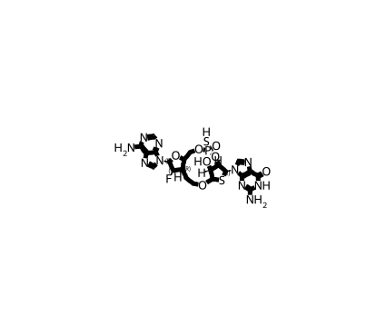 Nc1nc2c(ncn2[C@@H]2SC3OCC[C@@H]4C(COP(=O)(S)O[C@@H]2[C@@H]3O)O[C@@H](n2cnc3c(N)ncnc32)[C@H]4F)c(=O)[nH]1